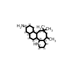 CC1CC(C)(C)CC2C3CC[C@@H](N)CC3CCC2C2NCCCC12